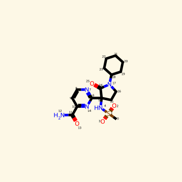 CS(=O)(=O)NC1(c2nccc(C(N)=O)n2)CCN(C2CCCCC2)C1=O